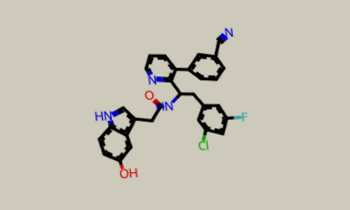 N#Cc1cccc(-c2cccnc2C(Cc2cc(F)cc(Cl)c2)NC(=O)Cc2c[nH]c3ccc(O)cc23)c1